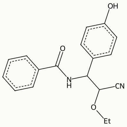 CCOC(C#N)C(NC(=O)c1ccccc1)c1ccc(O)cc1